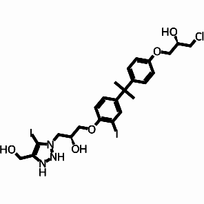 CC(C)(c1ccc(OC[C@@H](O)CCl)cc1)c1ccc(OC[C@@H](O)CN2NNC(CO)=C2I)c(I)c1